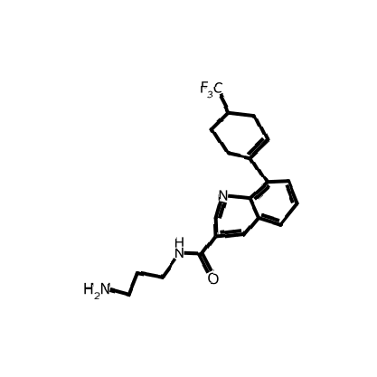 NCCCNC(=O)c1cnc2c(C3=CCC(C(F)(F)F)CC3)cccc2c1